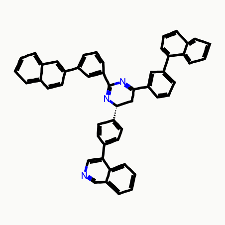 c1cc(C2=N[C@@H](c3ccc(-c4cncc5ccccc45)cc3)CC(c3cccc(-c4cccc5ccccc45)c3)=N2)cc(-c2ccc3ccccc3c2)c1